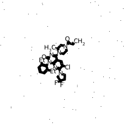 C=CC(=O)N1CCN(c2nc(=O)n(-c3c(CC)cccc3CC)c3nc(N4CCC(F)(F)C4)c(Cl)cc23)[C@@H](C)C1